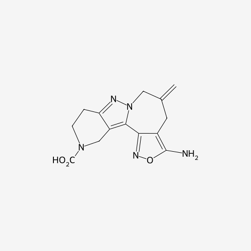 C=C1Cc2c(noc2N)-c2c3c(nn2C1)CCN(C(=O)O)C3